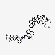 COC(=O)N(C(=O)N1[C@@H](C)CC[C@H]1c1nc2ccc3cc(-c4ccc(/C(N)=C/N=C/[C@@H]5CCCN5C(=O)OC(C)(C)C)c5c4CCCC5)ccc3c2[nH]1)C(C)C